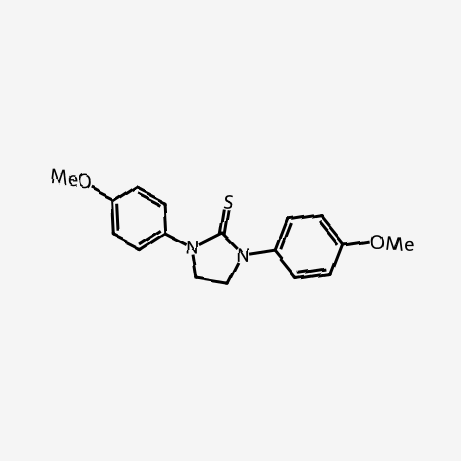 COc1ccc(N2CCN(c3ccc(OC)cc3)C2=S)cc1